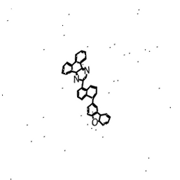 C1=CC2Oc3ccc(-c4cccc5c(-c6cnc7c8ccccc8c8ccccc8c7n6)cccc45)cc3C2C=C1